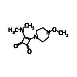 CON1CCN(c2c(N(C)C)c(=O)c2=O)CC1